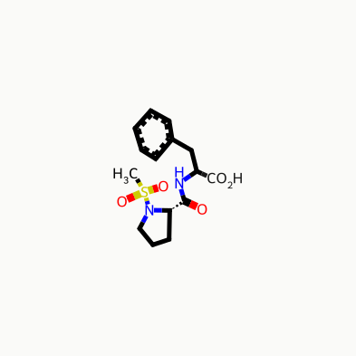 CS(=O)(=O)N1CCC[C@H]1C(=O)NC(Cc1ccccc1)C(=O)O